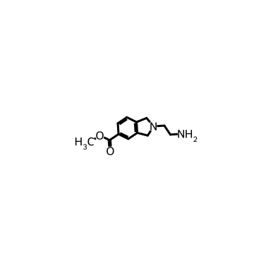 COC(=O)c1ccc2c(c1)CN(CCN)C2